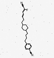 N#CC(F)=CC=CCCC1CCC(CCCCc2ccc(C#N)cc2)CC1